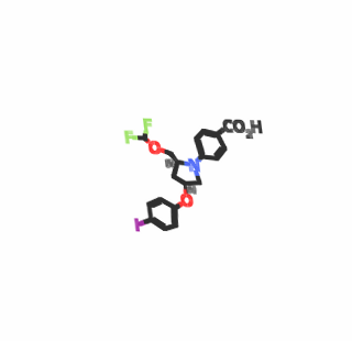 O=C(O)c1ccc(N2C[C@@H](Oc3ccc(I)cc3)C[C@H]2COC(F)F)cc1